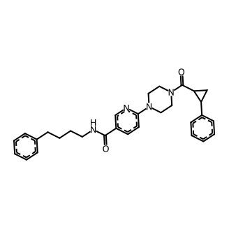 O=C(NCCCCc1ccccc1)c1ccc(N2CCN(C(=O)C3CC3c3ccccc3)CC2)nc1